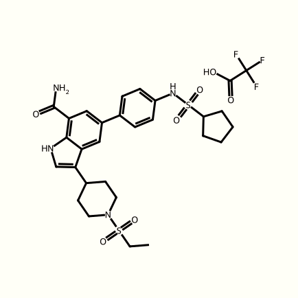 CCS(=O)(=O)N1CCC(c2c[nH]c3c(C(N)=O)cc(-c4ccc(NS(=O)(=O)C5CCCC5)cc4)cc23)CC1.O=C(O)C(F)(F)F